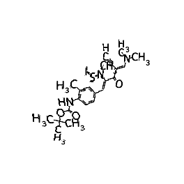 C#C/C(=C\N(C)C)C(=O)/C(=C/c1ccc(NC(=O)OC(C)(C)C)c(C)c1)N(C)SI